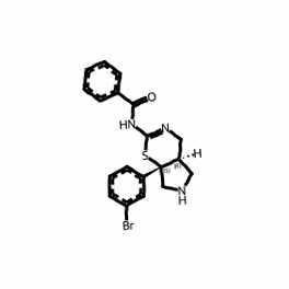 O=C(NC1=NC[C@H]2CNC[C@]2(c2cccc(Br)c2)S1)c1ccccc1